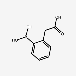 O=C(O)Cc1ccccc1B(O)O